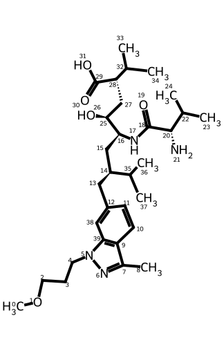 COCCCn1nc(C)c2ccc(C[C@@H](C[C@H](NC(=O)[C@@H](N)C(C)C)[C@@H](O)C[C@H](C(=O)O)C(C)C)C(C)C)cc21